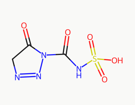 O=C1CN=NN1C(=O)NS(=O)(=O)O